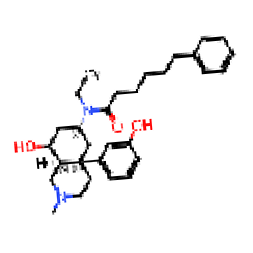 CC(C)CN(C(=O)CCCCCc1ccccc1)[C@H]1CC(O)[C@@H]2CN(C)CC[C@@]2(c2cccc(O)c2)C1